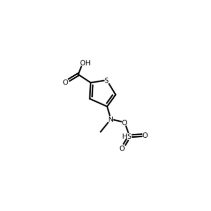 CN(O[SH](=O)=O)c1csc(C(=O)O)c1